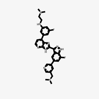 CN(C)CCNc1cc(F)cc(-c2ccnc3[nH]c(-c4n[nH]c5c(F)cc(-c6cncc(CN(C)C)c6)cc45)nc23)c1